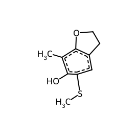 CSc1cc2c(c(C)c1O)OCC2